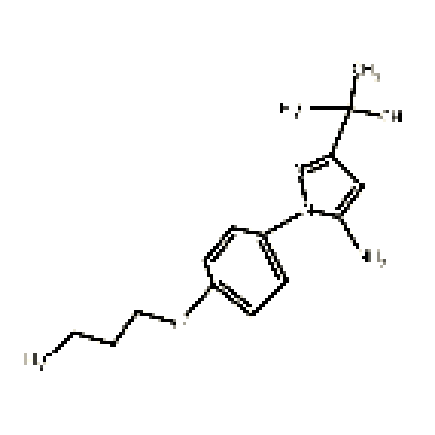 CCCCOc1ccc(-n2nc(C(C)(C)C)cc2N)cc1